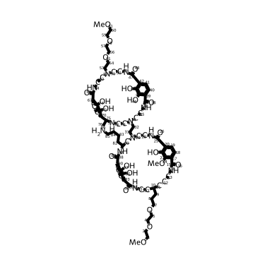 COCCOCCOCCCC1CCCNC(=O)c2ccc(c(O)c2OC)C(=O)NCCN(CCN2CCNC(=O)c3ccc(c(O)c3O)C(=O)NCCN(CCOCCOCCOC)CCNC(=O)c3ccc(c(O)c3O)C(C)NCC2)CC(CCCCN)NC(=O)c2ccc(c(O)c2O)C(=O)NCC1